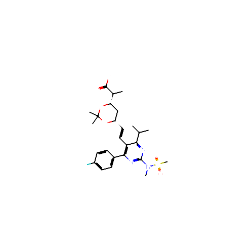 CC(C)c1nc(N(C)S(C)(=O)=O)nc(-c2ccc(F)cc2)c1C=C[C@@H]1C[C@H](C(C)C(=O)O)OC(C)(C)O1